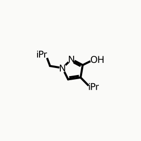 CC(C)Cn1cc(C(C)C)c(O)n1